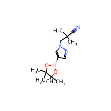 CC(C)(C#N)Cn1cc(B2OC(C)(C)C(C)(C)O2)cn1